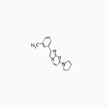 Cc1cccc(-c2cn3ccc(N4CCCC4)nc3n2)c1